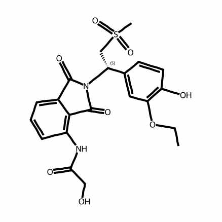 CCOc1cc([C@@H](CS(C)(=O)=O)N2C(=O)c3cccc(NC(=O)CO)c3C2=O)ccc1O